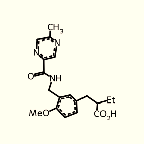 CCC(Cc1ccc(OC)c(CNC(=O)c2cnc(C)cn2)c1)C(=O)O